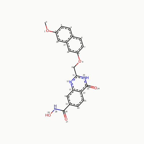 COc1ccc2ccc(OCc3nc4cc(C(=O)NO)ccc4c(=O)[nH]3)cc2c1